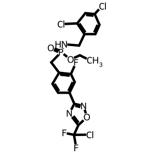 CCOP(=O)(Cc1ccc(-c2noc(C(F)(F)Cl)n2)cc1F)NCc1ccc(Cl)cc1Cl